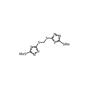 CSc1nnc(SCSc2nnc(SC)s2)s1